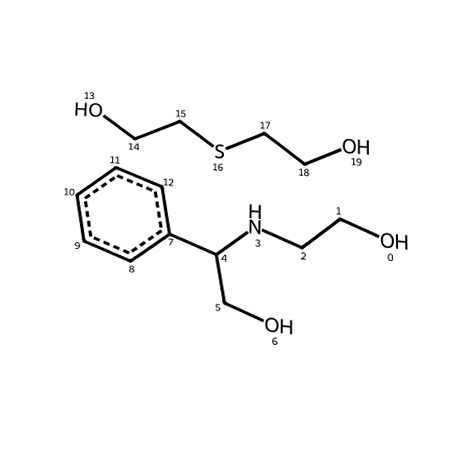 OCCNC(CO)c1ccccc1.OCCSCCO